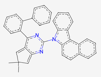 CC1(C)C=c2nc(-n3c4ccccc4c4c5ccccc5ccc43)nc(-c3ccccc3-c3ccccc3)c2=C1